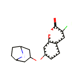 O=c1oc2cc(OC3CC4CCC(C3)N4)ccc2cc1Cl